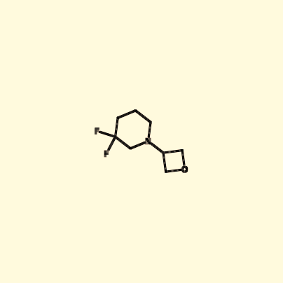 FC1(F)CCCN(C2COC2)C1